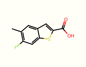 Cc1cc2cc(C(=O)O)sc2cc1F